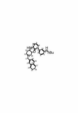 CCCCNc1cccc(-n2ccnc(NC3CCN(Cc4ccc5c(c4)=CCCC=5)CC3)c2=O)c1